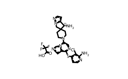 Nc1nccc(Sc2ncc(N3CCC4(CC3)Cn3nccc3[C@H]4N)n3cncc23)c1Cl.O=C(O)C(F)(F)F